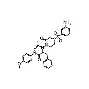 COc1ccc(N(C)C(=O)[C@H](Cc2ccccc2)N(C(C)=O)N2CCN(S(=O)(=O)c3cccc(N)c3)CC2=O)cc1